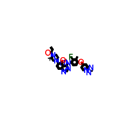 C=CC(=O)N1CCN(c2ccc3ncnc(Nc4ccc(Oc5ccn6ncnc6c5)c(C)c4F)c3c2OC)C[C@H]1C